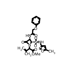 C=C(C)C(C(=O)OC)N1C(=O)[C@@H](NC(=O)COc2ccccc2)[C@H]1S(=O)(=O)Nc1cc(C)on1